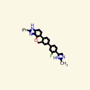 Cc1ncc(-c2ccc(-c3ccc4c(c3)COc3c-4ccc4[nH]c(C(C)C)nc34)cc2F)[nH]1